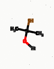 CCO[Si](C)(C)S